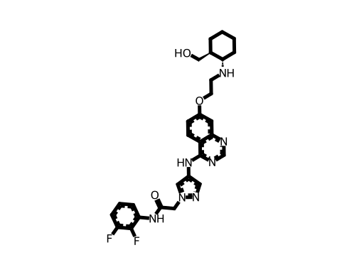 O=C(Cn1cc(Nc2ncnc3cc(OCCN[C@H]4CCCC[C@@H]4CO)ccc23)cn1)Nc1cccc(F)c1F